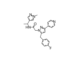 CC(NC(=O)Cn1nc(-c2ccncc2)cc1Cc1ccc(F)cc1)c1cnn(C)c1